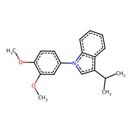 COc1ccc(-n2cc(C(C)C)c3ccccc32)cc1OC